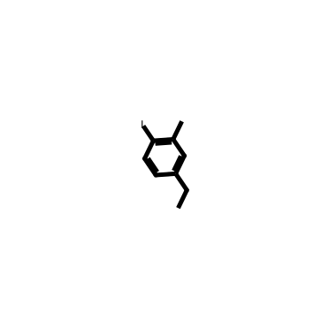 CCc1ccc(I)c(C)c1